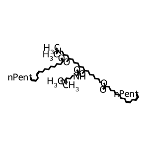 CCCCC/C=C\C/C=C\CCCCCCCC(=O)OCCCCCCC(CCCCCC(CCCN(C)C)OC(=O)CCCCCCC/C=C\C/C=C\CCCCC)OC(=O)NCCCN(C)C